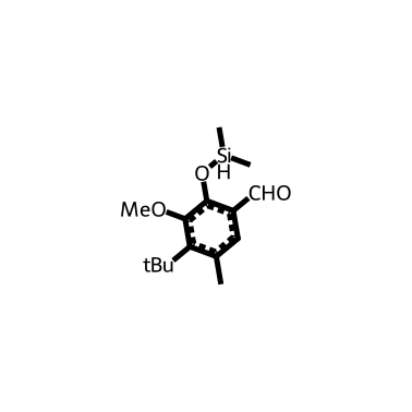 COc1c(O[SiH](C)C)c(C=O)cc(C)c1C(C)(C)C